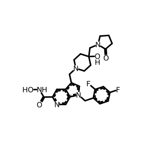 O=C(NO)c1cc2c(CN3CCC(O)(CN4CCCC4=O)CC3)cn(Cc3ccc(F)cc3F)c2cn1